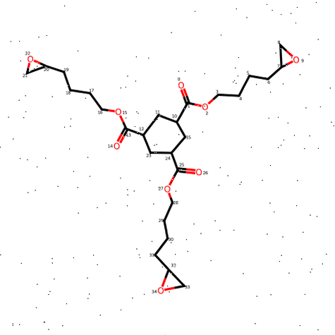 O=C(OCCCCC1CO1)C1CC(C(=O)OCCCCC2CO2)CC(C(=O)OCCCCC2CO2)C1